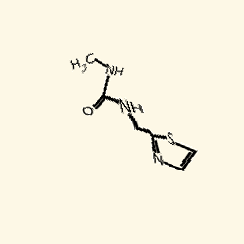 CNC(=O)NCc1nccs1